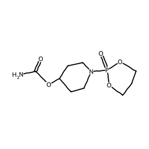 NC(=O)OC1CCN(P2(=O)OCCCO2)CC1